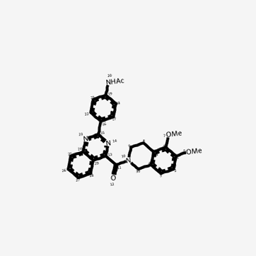 COc1ccc2c(c1OC)CCN(C(=O)c1nc(-c3ccc(NC(C)=O)cc3)nc3ccccc13)C2